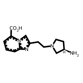 N[C@@H]1CCN(CCc2cn3c(C(=O)O)cccc3n2)C1